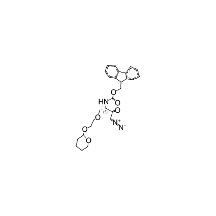 [N-]=[N+]=CC(=O)[C@H](COCCOC1CCCCO1)NC(=O)OCC1c2ccccc2-c2ccccc21